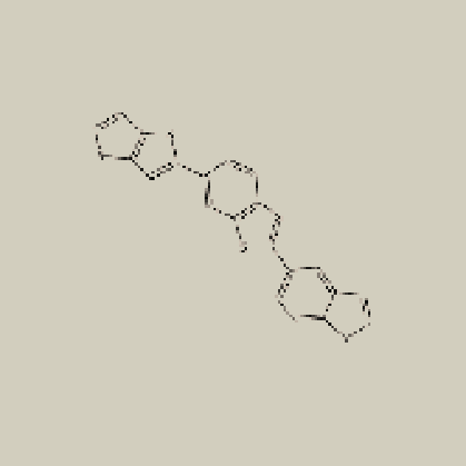 c1cc2cc(-c3cc4ccc(-c5cc6sccc6s5)cc4s3)ccc2[nH]1